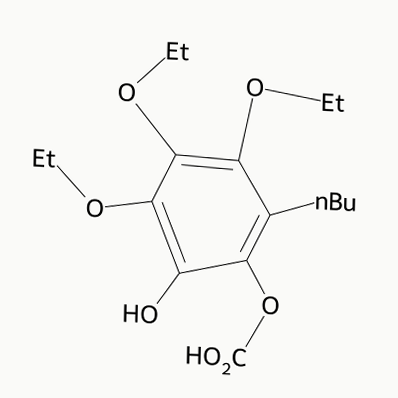 CCCCc1c(OC(=O)O)c(O)c(OCC)c(OCC)c1OCC